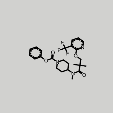 CN(C(=O)C(C)(C)COc1ncccc1C(F)(F)F)C1CCN(C(=O)Oc2ccccc2)CC1